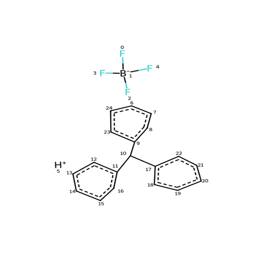 F[B-](F)(F)F.[H+].c1ccc(C(c2ccccc2)c2ccccc2)cc1